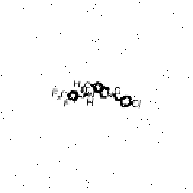 Cc1ccc2c(c1NC(=O)Cc1ccc(C(F)(F)F)c(F)c1)CCN(C(=O)Cc1ccc(Cl)cc1)C2